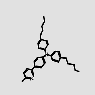 CCCCCc1ccc(N(c2ccc(CCCCC)cc2)c2ccc(-c3ccc(C)nc3)cc2)cc1